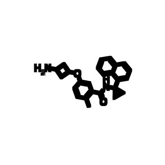 Cc1ccc(OC2CC(N)C2)cc1C(=O)NC1(c2cccc3ccccc23)CC1